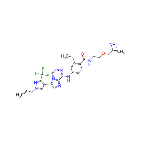 C=CCn1cc(-c2cnc3c(Nc4ccc(C(=O)NCCOC[C@H](C)N)c(CC)c4)nccn23)c(C(F)(F)F)n1